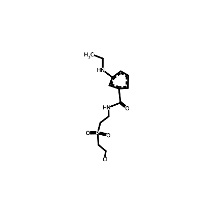 CCNc1cccc(C(=O)NCCS(=O)(=O)CCCl)c1